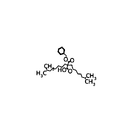 CC(C)CCCCCCC(CCCCCCC(C)C)(C(=O)O)C(=O)OCc1ccccc1